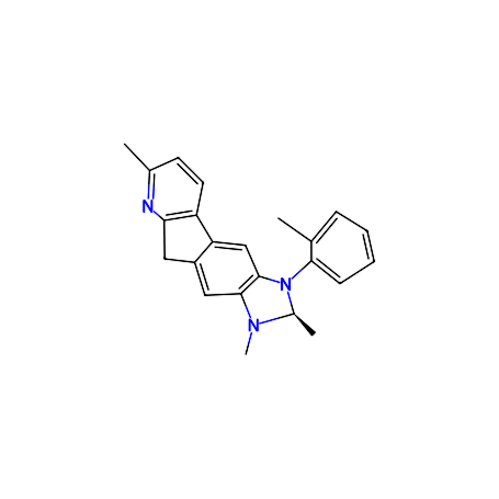 Cc1ccc2c(n1)Cc1cc3c(cc1-2)N(c1ccccc1C)[C@@H](C)N3C